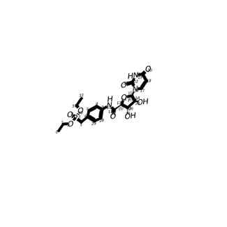 CCOP(=O)(Cc1ccc(NC(=O)[C@H]2O[C@@H](n3ccc(=O)[nH]c3=O)[C@H](O)[C@@H]2O)cc1)OCC